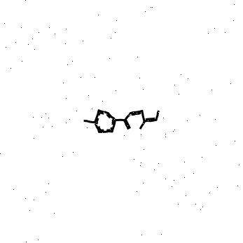 C=C(/C=C\C(C)=C/C)c1ccc(C)cc1